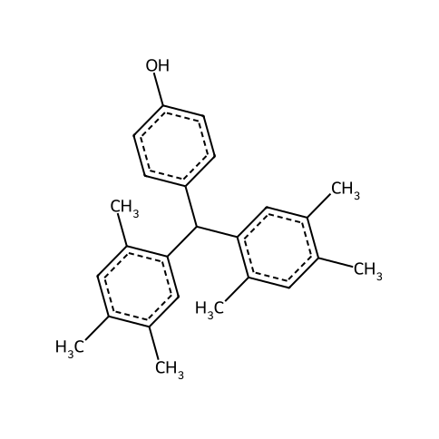 Cc1cc(C)c(C(c2ccc(O)cc2)c2cc(C)c(C)cc2C)cc1C